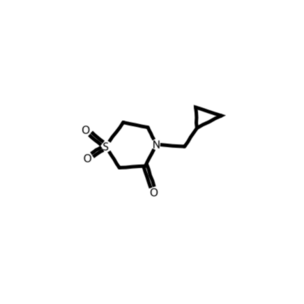 O=C1CS(=O)(=O)CCN1CC1CC1